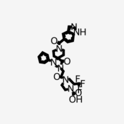 O=C(CN1CN(c2ccccc2)C2(CCN(C(=O)c3ccc4[nH]ncc4c3)CC2)C1=O)N1CCN(C(=O)O)C(C(F)(F)F)C1